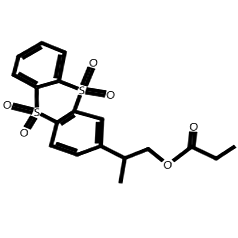 CCC(=O)OCC(C)c1ccc2c(c1)S(=O)(=O)c1ccccc1S2(=O)=O